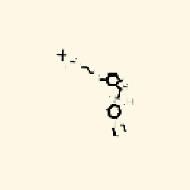 CC(C)(C)OC(=O)NCCCNC(=O)c1ccc2[nH]nc(-c3nc4ccc(N5CCOCC5)cc4[nH]3)c2c1